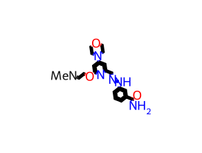 CNCCOc1cc(N2CCOCC2)cc(C=NNc2cccc(C(N)=O)c2)n1